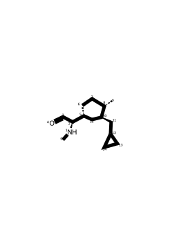 CN[C@H](C=O)[C@@H]1CC[C@H](C)[C@@H](CC2CC2)C1